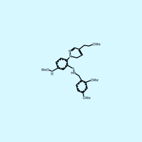 COCCC1=CCN(c2ccc(NOC)cc2SNCc2ccc(OC)cc2OC)N=C1